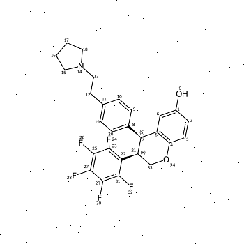 Oc1ccc2c(c1)[C@H](c1ccc(CCN3CCCC3)cc1)[C@H](c1c(F)c(F)c(F)c(F)c1F)CO2